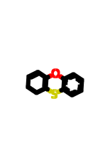 C1=CC2=C(CC1)Sc1ccccc1O2